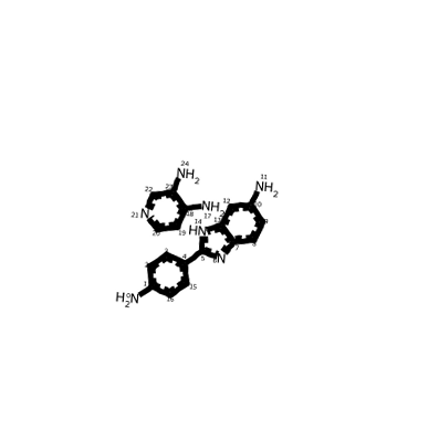 Nc1ccc(-c2nc3ccc(N)cc3[nH]2)cc1.Nc1ccncc1N